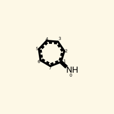 N=c1cccccc1